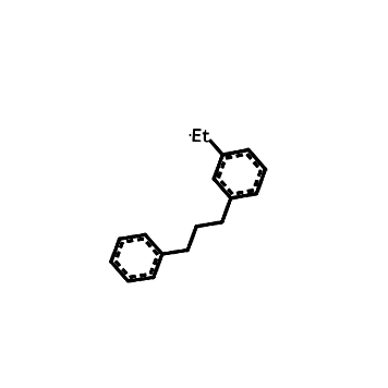 C[CH]c1cccc(CCCc2ccccc2)c1